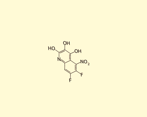 O=[N+]([O-])c1c(F)c(F)cc2nc(O)c(O)c(O)c12